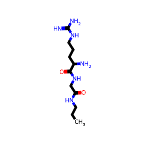 CCCNC(=O)CNC(=O)C(N)CCCNC(=N)N